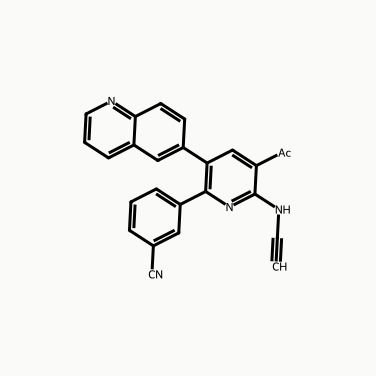 C#CNc1nc(-c2cccc(C#N)c2)c(-c2ccc3ncccc3c2)cc1C(C)=O